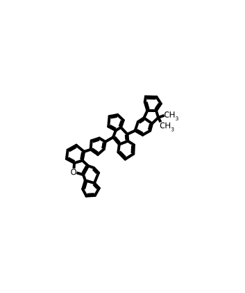 CC1(C)c2ccccc2-c2cc(-c3c4ccccc4c(-c4ccc(-c5cccc6oc7c8ccccc8ccc7c56)cc4)c4ccccc34)ccc21